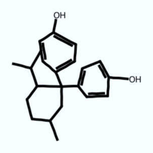 CC1CCC(C(C)C)C(c2ccc(O)cc2)(c2ccc(O)cc2)C1